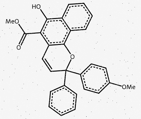 COC(=O)c1c2c(c3ccccc3c1O)OC(c1ccccc1)(c1ccc(OC)cc1)C=C2